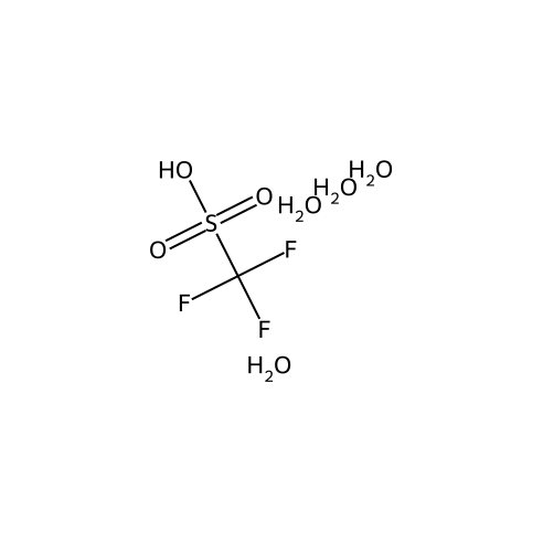 O.O.O.O.O=S(=O)(O)C(F)(F)F